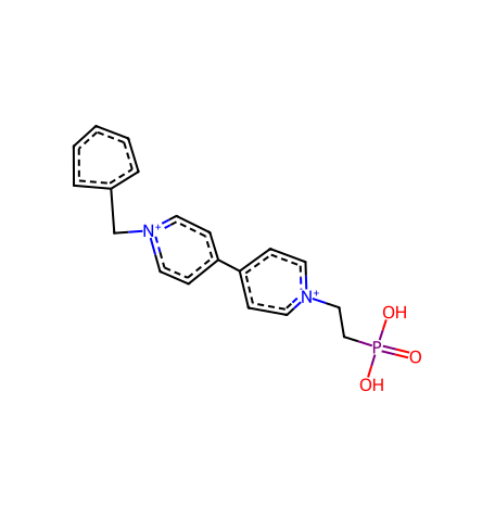 O=P(O)(O)CC[n+]1ccc(-c2cc[n+](Cc3ccccc3)cc2)cc1